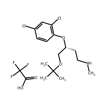 CNCC[C@H](COC(C)(C)C)Oc1ccc(Cl)cc1Cl.O=C(O)C(F)(F)F